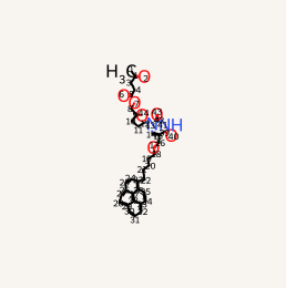 CC(=O)CCC(=O)OCC1CCC(n2cc(COCCCCCc3ccc4ccc5cccc6ccc3c4c56)c(=O)[nH]c2=O)O1